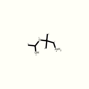 CC(O)OC(C)(C)C[AsH2]